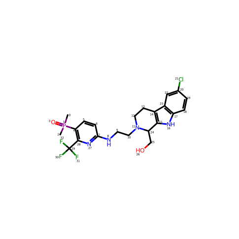 CP(C)(=O)c1ccc(NCCN2CCc3c([nH]c4ccc(Cl)cc34)C2CO)nc1C(F)(F)F